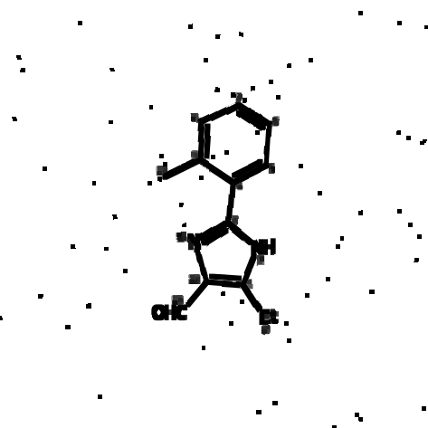 CCc1[nH]c(-c2ccccc2C)nc1C=O